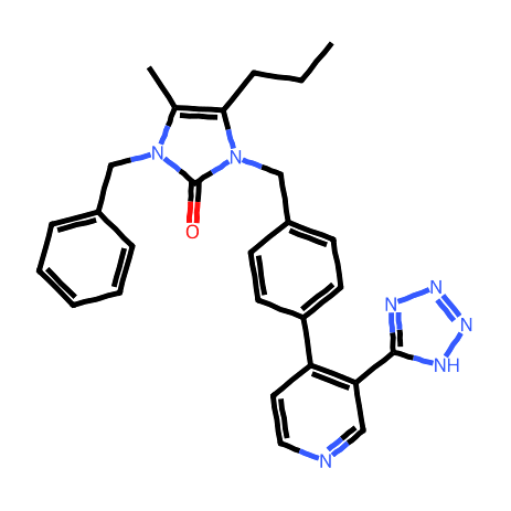 CCCc1c(C)n(Cc2ccccc2)c(=O)n1Cc1ccc(-c2ccncc2-c2nnn[nH]2)cc1